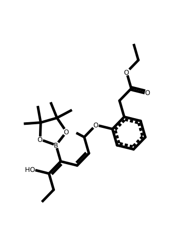 CCOC(=O)Cc1ccccc1OC(C)/C=C\C(B1OC(C)(C)C(C)(C)O1)=C(\O)CC